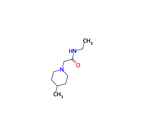 CCNC(=O)CN1CCC(C)CC1